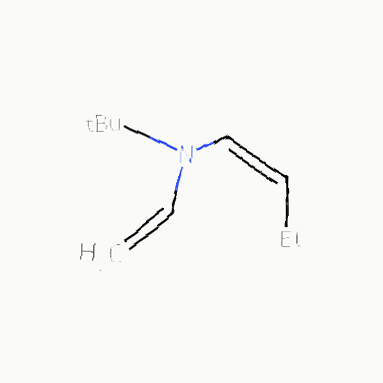 C=CN(/C=C\CC)C(C)(C)C